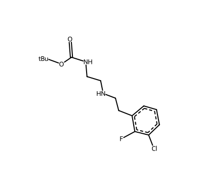 CC(C)(C)OC(=O)NCCNCCc1cccc(Cl)c1F